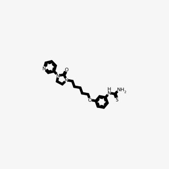 NC(=S)Nc1cccc(OCCCCCN2CCN(c3cccnc3)C2=O)c1